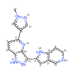 Cn1cc(-c2ccc3[nH]nc(-c4cc5cnccc5[nH]4)c3n2)cn1